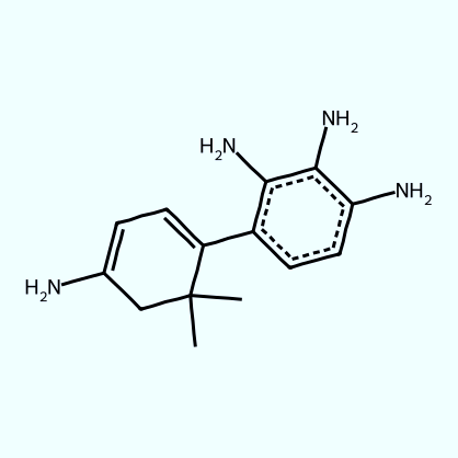 CC1(C)CC(N)=CC=C1c1ccc(N)c(N)c1N